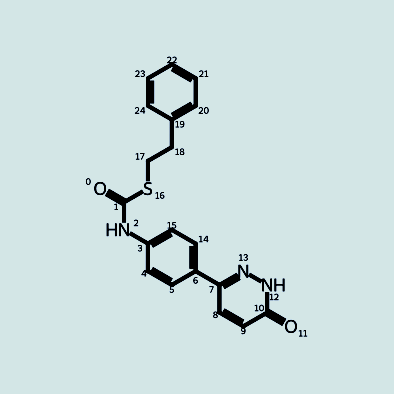 O=C(Nc1ccc(-c2ccc(=O)[nH]n2)cc1)SCCc1ccccc1